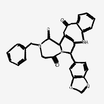 O=C1C2c3c([nH]c4ccccc4c3=O)C(c3ccc4c(c3)OCO4)N2C(=O)CN1Cc1ccccc1